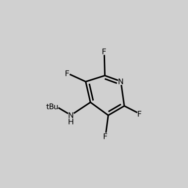 CC(C)(C)Nc1c(F)c(F)nc(F)c1F